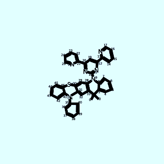 CC1(C)c2ccccc2N(c2nc(-c3ccccn3)cc(-c3ccccn3)n2)c2cc3c(cc21)N(c1ccccc1)c1ccccc1S3